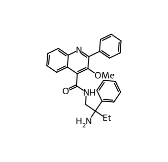 CCC(N)(CNC(=O)c1c(OC)c(-c2ccccc2)nc2ccccc12)c1ccccc1